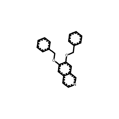 c1ccc(COc2cc3ccncc3cc2OCc2ccccc2)cc1